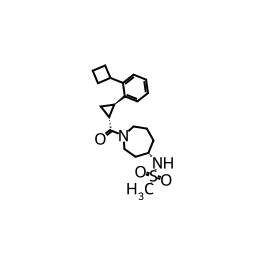 CS(=O)(=O)N[C@H]1CCCN(C(=O)[C@@H]2C[C@H]2c2ccccc2C2CCC2)CC1